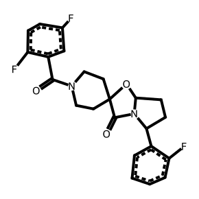 O=C(c1cc(F)ccc1F)N1CCC2(CC1)OC1CCC(c3ccccc3F)N1C2=O